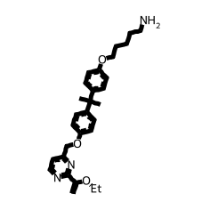 C=C(OCC)c1nccc(COc2ccc(C(C)(C)c3ccc(OCCCCCN)cc3)cc2)n1